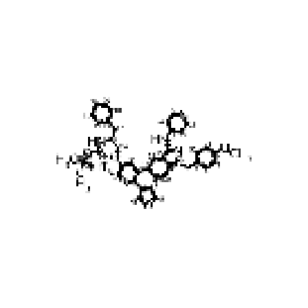 COc1ccc(Cn2nc(Nc3ccncc3)c3cc(-c4cc(OC[C@H](Cc5ccccc5)NC(=O)OC(C)(C)C)cnc4-c4ccoc4)ccc32)cc1